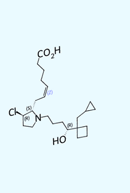 O=C(O)CCC/C=C\C[C@H]1[C@H](Cl)CCN1CCC[C@@H](O)C1(CC2CC2)CCC1